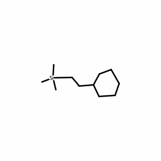 C[Si](C)(C)C[CH]C1CCCCC1